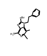 CCCCc1nc2c(N)nc(C)c(C)c2n1CCc1ccccc1